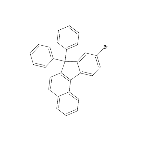 Brc1ccc2c(c1)C(c1ccccc1)(c1ccccc1)c1ccc3ccccc3c1-2